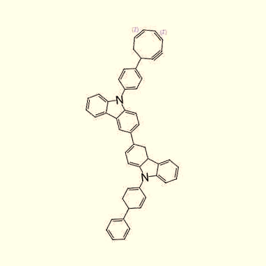 C1#CC(c2ccc(-n3c4ccccc4c4cc(C5=CC=C6C(C5)c5ccccc5N6C5=CCC(c6ccccc6)C=C5)ccc43)cc2)C/C=C\C=C/1